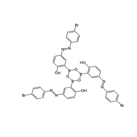 Oc1ccc(N=Nc2ccc(Br)cc2)cc1B1OB(c2cc(N=Nc3ccc(Br)cc3)ccc2O)OB(c2cc(N=Nc3ccc(Br)cc3)ccc2O)O1